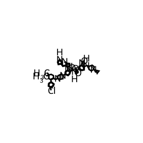 CC1(C)CCC(CN2CCN(c3ccc(C(=O)NS(=O)(=O)c4ccc(NC5CCN(C6CC6)CC5)c(N=O)c4)c(-n4ncc5nc6[nH]ccc6cc54)c3)CC2)=C(c2ccc(Cl)cc2)C1